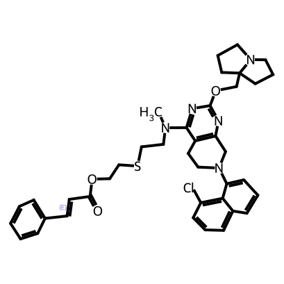 CN(CCSCCOC(=O)/C=C/c1ccccc1)c1nc(OCC23CCCN2CCC3)nc2c1CCN(c1cccc3cccc(Cl)c13)C2